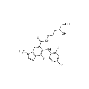 Cn1cnc2c(F)c(Nc3ccc(Br)cc3Cl)c(C(=O)NOCCC(O)CO)cc21